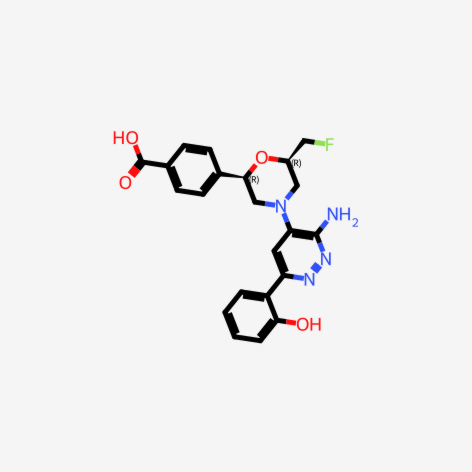 Nc1nnc(-c2ccccc2O)cc1N1C[C@H](CF)O[C@H](c2ccc(C(=O)O)cc2)C1